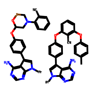 CC(C)n1cc(-c2ccc(OC3CN(c4ccccc4C#N)CSO3)cc2)c2c(N)ncnc21.Cc1ccc(Oc2cccc(Oc3ccc(-c4cn(C(C)C)c5ncnc(N)c45)cc3)c2C#N)cc1